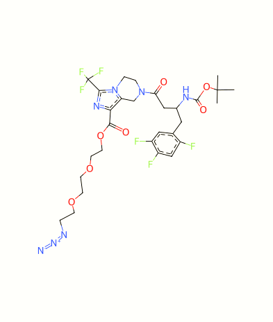 CC(C)(C)OC(=O)NC(CC(=O)N1CCn2c(C(F)(F)F)nc(C(=O)OCCOCCOCCN=[N+]=[N-])c2C1)Cc1cc(F)c(F)cc1F